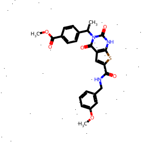 COC(=O)c1ccc(C(C)n2c(=O)[nH]c3sc(C(=O)NCc4cccc(OC)c4)cc3c2=O)cc1